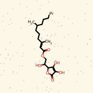 C/C(=C\C(=O)OCC(O)C1OC(=O)C(O)=C1O)CCCC(C)CCCC(C)C